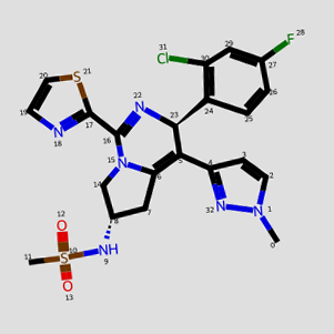 Cn1ccc(C2=C3C[C@H](NS(C)(=O)=O)CN3C(c3nccs3)=N[C@H]2c2ccc(F)cc2Cl)n1